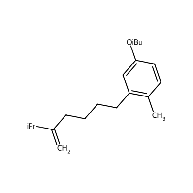 C=C(CCCCc1cc(OCC(C)C)ccc1C)C(C)C